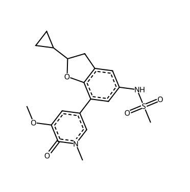 COc1cc(-c2cc(NS(C)(=O)=O)cc3c2OC(C2CC2)C3)cn(C)c1=O